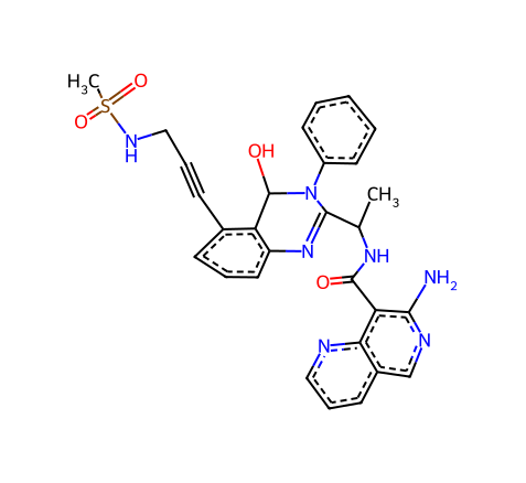 CC(NC(=O)c1c(N)ncc2cccnc12)C1=Nc2cccc(C#CCNS(C)(=O)=O)c2C(O)N1c1ccccc1